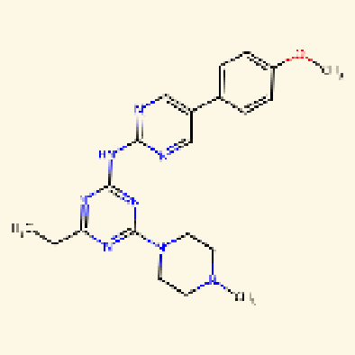 CCc1nc(Nc2ncc(-c3ccc(OC)cc3)cn2)nc(N2CCN(C)CC2)n1